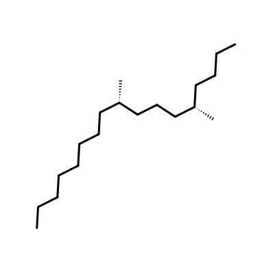 CCCCCCCC[C@H](C)CCC[C@@H](C)CCCC